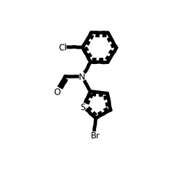 O=CN(c1ccc(Br)s1)c1ccccc1Cl